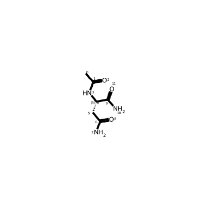 CC(=O)N[C@@H](CC(N)=O)C(N)=O